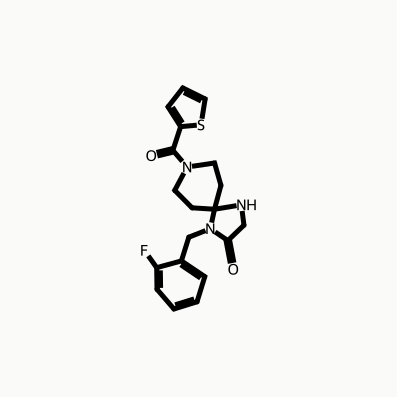 O=C(c1cccs1)N1CCC2(CC1)NCC(=O)N2Cc1ccccc1F